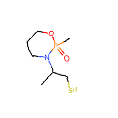 CC(CS)N1CCCOP1(C)=O